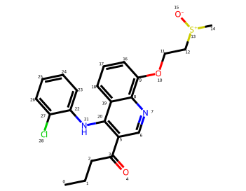 CCCC(=O)c1cnc2c(OCC[S+](C)[O-])cccc2c1Nc1ccccc1Cl